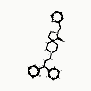 O=C1N(Cc2ccccn2)CCC12CCN(CCC(c1ccccc1)c1ccccc1)CC2